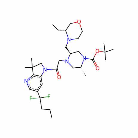 CCCC(F)(F)c1cnc2c(c1)N(C(=O)CN1C[C@@H](C)N(C(=O)OC(C)(C)C)C[C@@H]1CN1CCOC[C@H]1CC)CC2(C)C